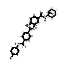 O=C(Nc1ccc(F)cc1)c1ccc(-c2nc3cc(C(=O)NC4CC5CCC4CC5)ccc3[nH]2)cc1